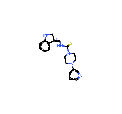 S=C(N/C=C1/CNc2ccccc21)N1CCN(c2cccnc2)CC1